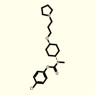 CN(C(=O)Oc1ccc(Cl)cc1)[C@H]1CC[C@H](OCCCN2CCCC2)CC1